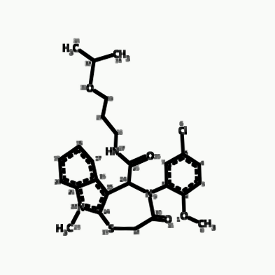 COc1ccc(Cl)cc1N1C(=O)CSc2c(c3ccccc3n2C)C1C(=O)NCCCOC(C)C